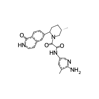 Cc1cc(NC(=O)C(=O)N2C[C@@H](C)CCC2c2ccc3c(=O)[nH]ccc3c2)cnc1N